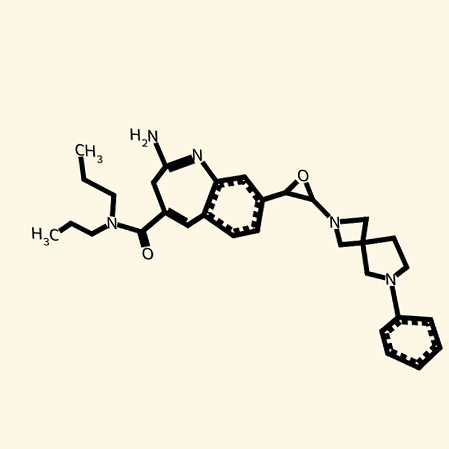 CCCN(CCC)C(=O)C1=Cc2ccc(C3OC3N3CC4(CCN(c5ccccc5)C4)C3)cc2N=C(N)C1